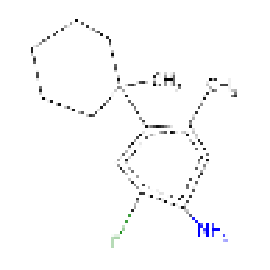 Cc1cc(N)c(F)cc1C1(C)CCCCC1